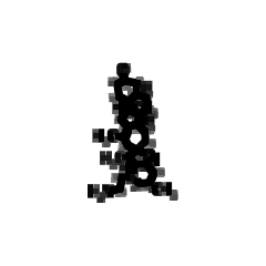 CC1=C2C[C@H]3C(CC[C@@H]4CC(=O)CC[C@@]43C)[C@@H]2CC[C@@]2(C1)O[C@@H]1C[C@H](C)CN(CCN)[C@H]1[C@H]2C